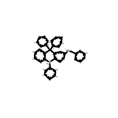 c1ccc(Nc2ccc3c(c2)C(c2ccccc2)(c2ccccc2)c2ccccc2N3c2ccccc2)cc1